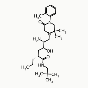 CCC[C@H](C[C@H](O)[C@@H](N)CN1CC(=O)N(c2ccccc2C)CC1(C)C)C(=O)NCC(C)(C)C